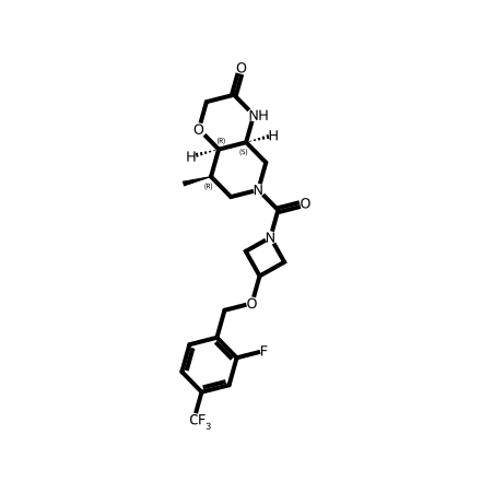 C[C@@H]1CN(C(=O)N2CC(OCc3ccc(C(F)(F)F)cc3F)C2)C[C@@H]2NC(=O)CO[C@H]12